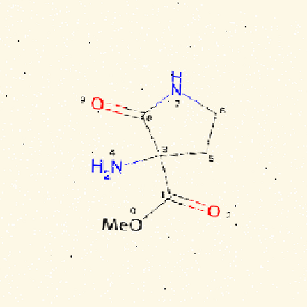 COC(=O)C1(N)CCNC1=O